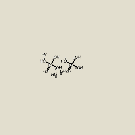 O=P(O)(O)O.O=P(O)(O)O.[LiH].[LiH].[V]